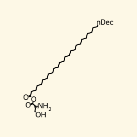 CCCCCCCCCCCCCCCCCCCCCCCCCCCCCCCCCCC(=O)OC(=O)[C@@H](N)CO